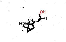 CCC(=CCC1CC2CC2(COC)C1(C)C)CO